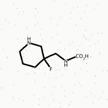 O=C(O)NCC1(F)CCCNC1